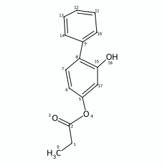 CCC(=O)Oc1ccc(-c2ccccc2)c(O)c1